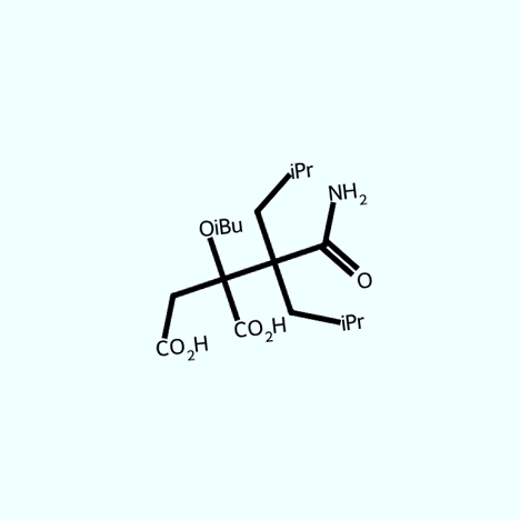 CC(C)COC(CC(=O)O)(C(=O)O)C(CC(C)C)(CC(C)C)C(N)=O